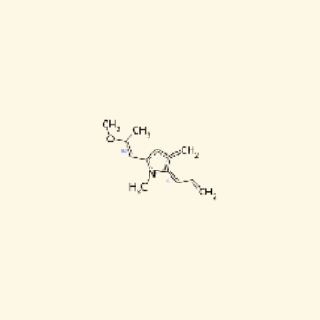 C=C/C=c1\c(=C)cc(/C=C(\C)OC)n1C